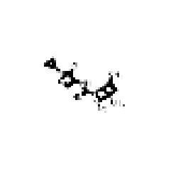 CC1=C[C@]2(C)C1N(C(=N)Nc1cnn(C3CC3)c1Cl)[C@H]2C(C)C